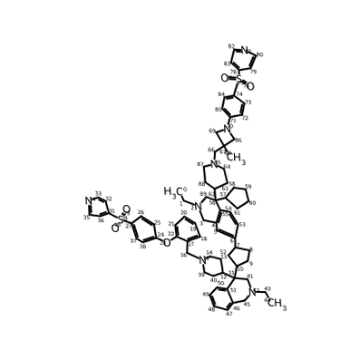 CCN1Cc2cc(C3CCC(C4(C5CCN(Cc6ccccc6Oc6ccc(S(=O)(=O)c7ccncc7)cc6)CC5)CN(CC)Cc5ccccc54)C3)ccc2C(C2CCCC2)(C2CCN(CC3(C)CN(c4ccc(S(=O)(=O)c5ccncc5)cc4)C3)CC2)C1